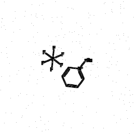 CCCC[n+]1ccccc1.F[P-](F)(F)(F)(F)F